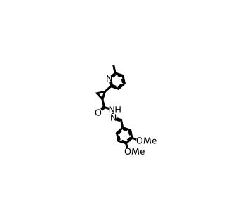 COc1ccc(/C=N/NC(=O)C2CC2c2cccc(C)n2)cc1OC